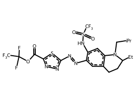 CCC1CCc2cc(N=Nc3nnc(C(=O)OC(F)(F)C(F)(F)F)s3)c(NS(=O)(=O)C(F)(F)F)cc2N1CC(C)C